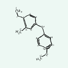 CCc1ccc(Oc2ccc(OC)cc2)cc1C